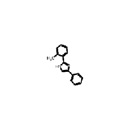 Cc1ccccc1-c1nc(-c2ccccc2)c[nH]1